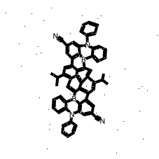 CC(C)c1cc2c3c(cc4c(C(C)C)cc5c6c(cc1c3c46)B1c3ccccc3N(c3ccccc3)c3cc(C#N)cc-5c31)B1c3ccccc3N(c3ccccc3)c3cc(C#N)cc-2c31